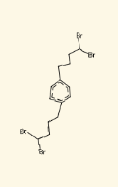 BrC(Br)CCCc1ccc(CCCC(Br)Br)cc1